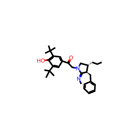 CCC[C@H]1CN(CC(=O)c2cc(C(C)(C)C)c(O)c(C(C)(C)C)c2)/C(=N/C)[C@@H]1Cc1ccccc1